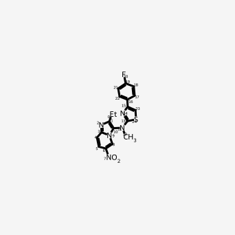 CCc1nc2ccc([N+](=O)[O-])cn2c1N(C)c1nc(-c2ccc(F)cc2)cs1